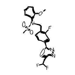 COc1ccccc1N(Cc1ccc(-c2nnc(C(F)F)o2)cc1F)S(C)(=O)=O